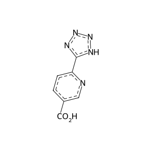 O=C(O)c1ccc(-c2nnn[nH]2)nc1